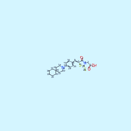 O=C(O)CN1C(=O)C(=Cc2ccc(N3CCC4(CCCCC4)CC3)cc2)SC1=S